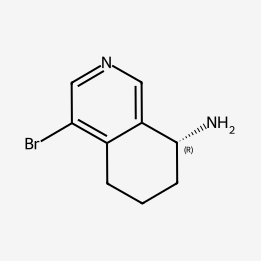 N[C@@H]1CCCc2c(Br)cncc21